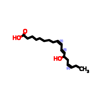 CC/C=C\CC(O)/C=C/C=C\CCCCCCCC(=O)O